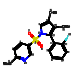 COc1ccc(S(=O)(=O)n2cc(C=O)c(OC)c2-c2ccccc2F)cn1